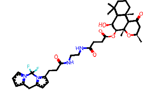 C[C@@H]1CC(=O)C2[C@@]3(C)CCCC(C)(C)C3[C@H](O)[C@H](OC(=O)CCC(=O)NCCNC(=O)CCc3ccc4n3C(F)(F)n3cccc3C4)[C@@]2(C)O1